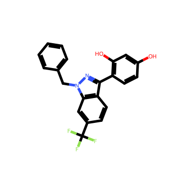 Oc1ccc(-c2nn(Cc3ccccc3)c3cc(C(F)(F)F)ccc23)c(O)c1